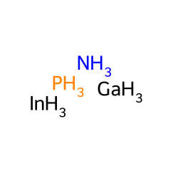 N.P.[GaH3].[InH3]